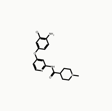 CN1CCC(C(=O)Nc2cc(Oc3ccc(N)c(Cl)c3)ccn2)CC1